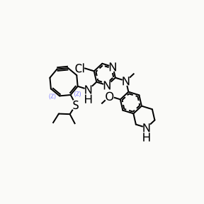 CCC(C)SC1=C(\Nc2nc(N(C)c3cc4c(cc3OC)CNCC4)ncc2Cl)CC#CC/C=C\1